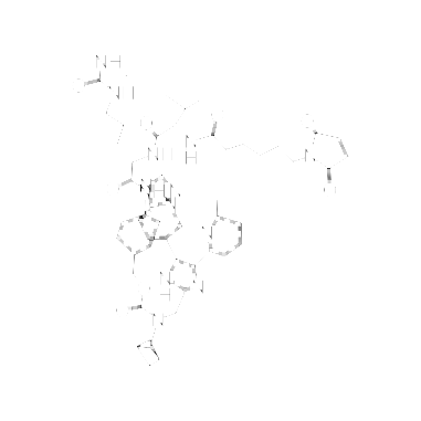 Cc1cccc(-c2nc(CN(C(=O)OCc3ccc(NC(=O)[C@H](CCCNC(N)=O)NC(=O)[C@@H](NC(=O)CCCCCN4C(=O)C=CC4=O)C(C)C)cc3)C3C4CC3C4)[nH]c2-c2ccc3ncnn3c2)n1